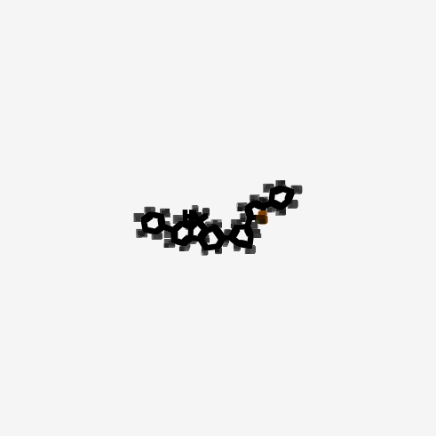 CC1(C)C2=C(CCC(c3cccc(-c4ccc(-c5ccccc5)s4)c3)=C2)C2=CC=C(C3=CC=CCC3)C[C@@H]21